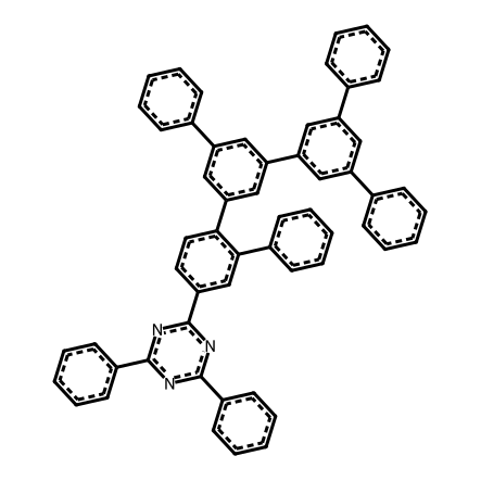 c1ccc(-c2cc(-c3ccccc3)cc(-c3cc(-c4ccccc4)cc(-c4ccc(-c5nc(-c6ccccc6)nc(-c6ccccc6)n5)cc4-c4ccccc4)c3)c2)cc1